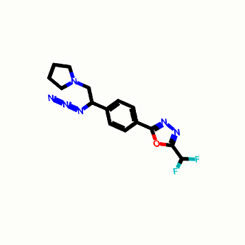 [N-]=[N+]=NC(CN1CCCC1)c1ccc(-c2nnc(C(F)F)o2)cc1